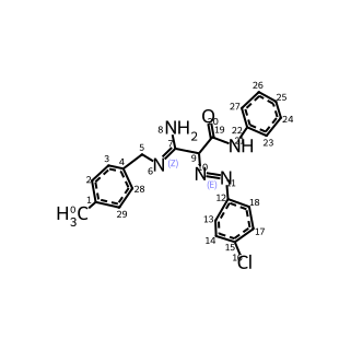 Cc1ccc(C/N=C(\N)C(/N=N/c2ccc(Cl)cc2)C(=O)Nc2ccccc2)cc1